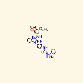 COc1cc(Nc2nc3ccccc3nc2Nc2cccc(NC(=O)CNC(C)c3ccccc3)c2)cc(OC)c1